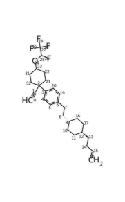 C#CC1(c2ccc(CC[C@H]3CC[C@H](CCC=C)CC3)cc2)CCC(OC(F)C(F)(F)F)CC1